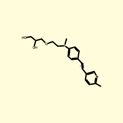 Cc1ccc(/C=C/c2ccc(N(C)CCOCC(O)CO)cc2)cn1